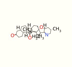 CC1=C2C(=O)[C@H]3[C@@H](CC[C@@H]4CC(=O)CC[C@@]43C)[C@@H]2CC[C@]12O[C@@H]1C[C@H](C)CN=C1[C@H]2C